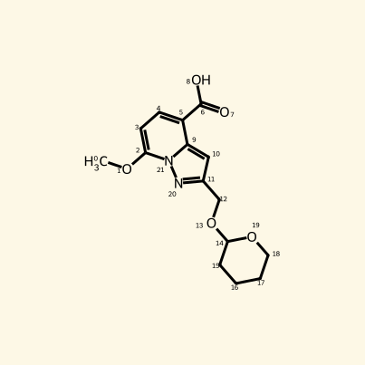 COc1ccc(C(=O)O)c2cc(COC3CCCCO3)nn12